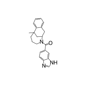 CC12CCCN(C(=O)c3ccc4nc[nH]c4c3)C(Cc3ccccc31)C2